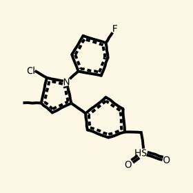 Cc1cc(-c2ccc(C[SH](=O)=O)cc2)n(-c2ccc(F)cc2)c1Cl